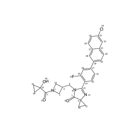 O=C(N1CC(CN2C(=O)C3(CC3)N=C2c2ccc(-c3ccc4cc(Cl)ccc4c3)cc2F)C1)C1(O)CC1